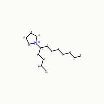 CCCCCCCC(CCCC)N1CCCC1